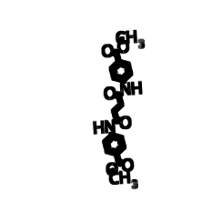 COC(=O)c1ccc(NC(=O)CCC(=O)Nc2ccc(C(=O)OC)cc2)cc1